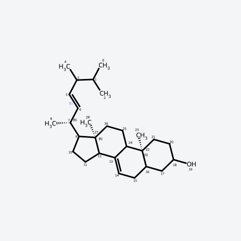 CC(C)C(C)/C=C/[C@@H](C)C1CCC2C3=CCC4CC(O)CC[C@]4(C)C3CC[C@@]21C